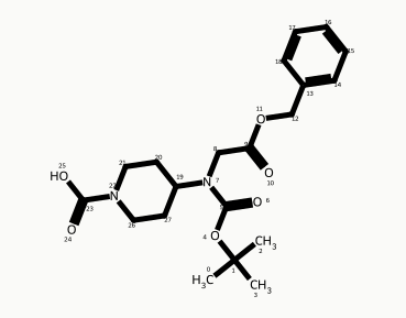 CC(C)(C)OC(=O)N(CC(=O)OCc1ccccc1)C1CCN(C(=O)O)CC1